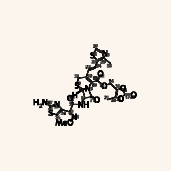 CON=C(C(=O)NC1C(=O)N2C(C(=O)OCc3oc(=O)oc3C)=C(C=Cc3scnc3C)CS[C@@H]12)c1csc(N)n1